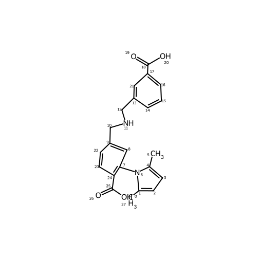 Cc1ccc(C)n1-c1cc(CNCc2cccc(C(=O)O)c2)ccc1C(=O)O